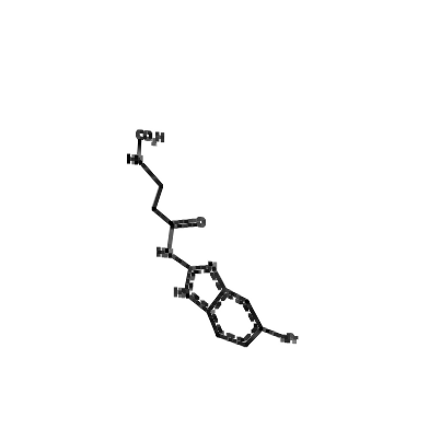 CCCc1ccc2[nH]c(NC(=O)CCNC(=O)O)nc2c1